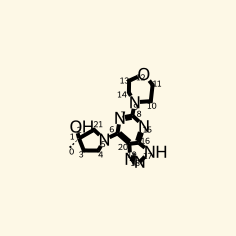 C[C@@]1(O)CCN(c2nc(N3CCOCC3)nc3[nH]nnc23)C1